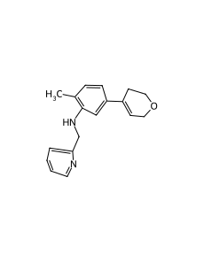 Cc1ccc(C2=CCOCC2)cc1NCc1ccccn1